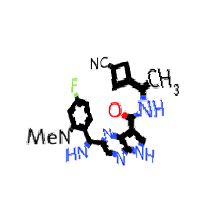 CNc1cc(F)ccc1C(=N)c1cnc2[nH]cc(C(=O)NC(C)C3CC(C#N)C3)c2n1